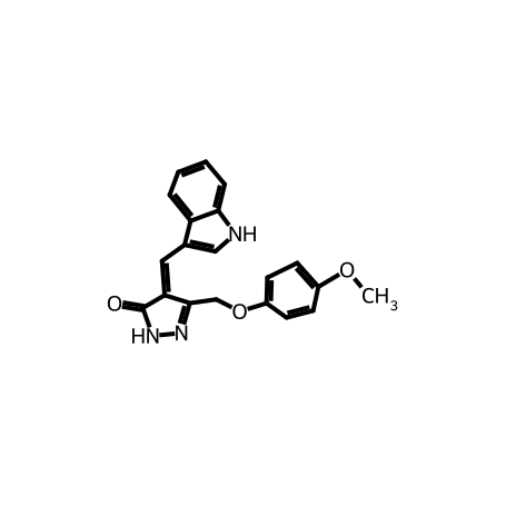 COc1ccc(OCC2=NNC(=O)C2=Cc2c[nH]c3ccccc23)cc1